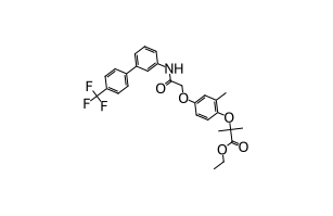 CCOC(=O)C(C)(C)Oc1ccc(OCC(=O)Nc2cccc(-c3ccc(C(F)(F)F)cc3)c2)cc1C